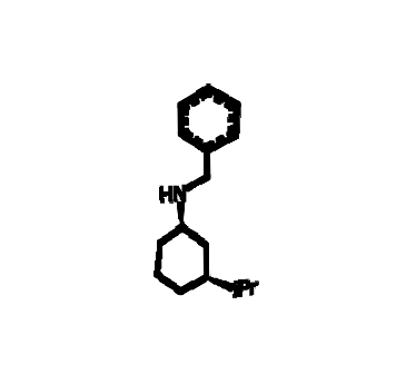 CC(C)[C@H]1CCC[C@@H](NCc2ccccc2)C1